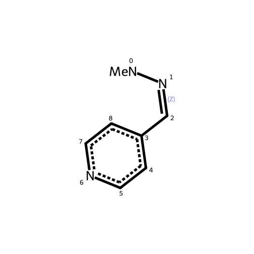 CN/N=C\c1ccncc1